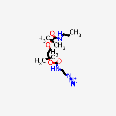 CCCNC(=O)C(C)(C)OCCC(C)(C)OC(=O)NCCN=[N+]=[N-]